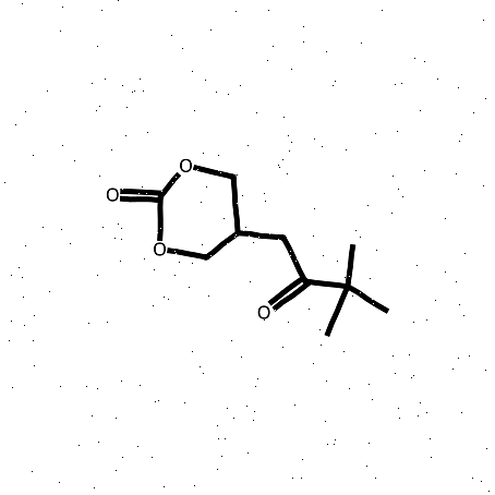 CC(C)(C)C(=O)CC1COC(=O)OC1